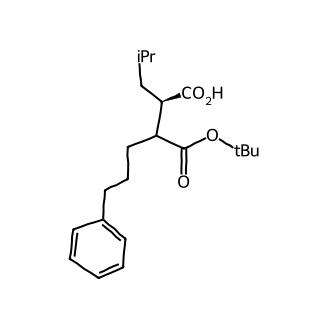 CC(C)C[C@@H](C(=O)O)C(CCCc1ccccc1)C(=O)OC(C)(C)C